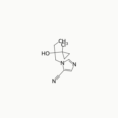 CCC(O)(Cn1cncc1C#N)C1(Cl)CC1